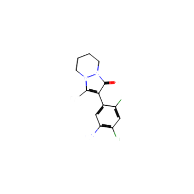 Nc1cc(-c2c(C(F)(F)F)n3n(c2=O)CCCC3)c(F)cc1Cl